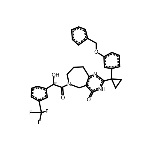 O=C([C@H](O)c1cccc(C(F)(F)F)c1)N1CCCc2nc(C3(c4cccc(OCc5ccccc5)c4)CC3)[nH]c(=O)c2C1